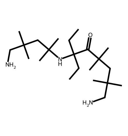 CCC(CC)(NC(C)(C)CC(C)(C)CN)C(=O)C(C)(C)CC(C)(C)CN